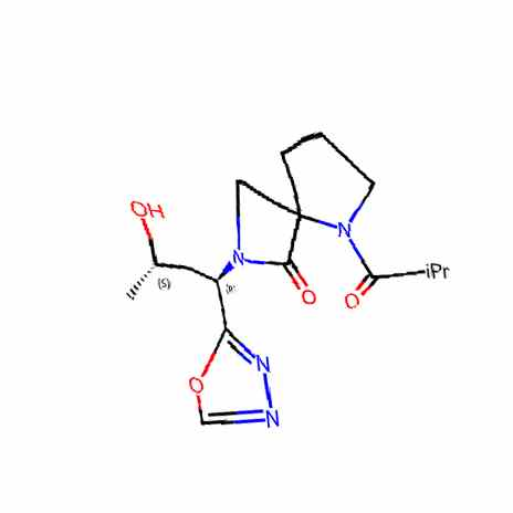 CC(C)C(=O)N1CCCC12CN([C@@H](c1nnco1)[C@H](C)O)C2=O